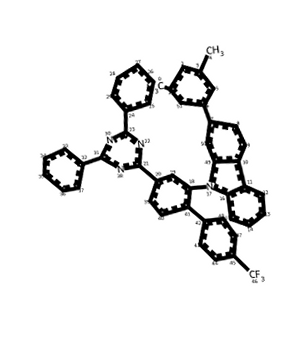 Cc1cc(C)cc(-c2ccc3c4ccccc4n(-c4cc(-c5nc(-c6ccccc6)nc(-c6ccccc6)n5)ccc4-c4ccc(C(F)(F)F)cc4)c3c2)c1